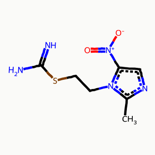 Cc1ncc([N+](=O)[O-])n1CCSC(=N)N